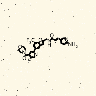 Nc1ccc(/C=C/C(=O)NCc2cc3cc(-c4cc(C(=O)N5CCOCC5)c(F)cn4)cc(C(F)(F)F)c3o2)cn1